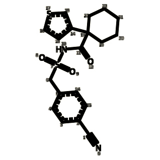 N#Cc1ccc(CS(=O)(=O)NC(=O)C2(c3ccsc3)CCCCC2)cc1